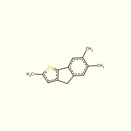 Cc1cc2c(s1)-c1cc(C)c(C)cc1C2